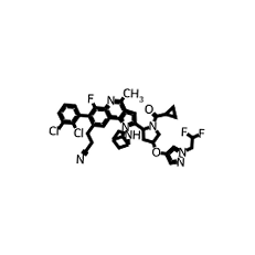 Cc1nc2c(F)c(-c3cccc(Cl)c3Cl)c(CCC#N)cc2c2c1cc(C1CC(Oc3cnn(CC(F)F)c3)CN1C(=O)C1CC1)n2C1C2CNC1C2